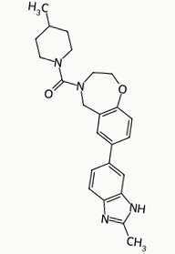 Cc1nc2ccc(-c3ccc4c(c3)CN(C(=O)N3CCC(C)CC3)CCO4)cc2[nH]1